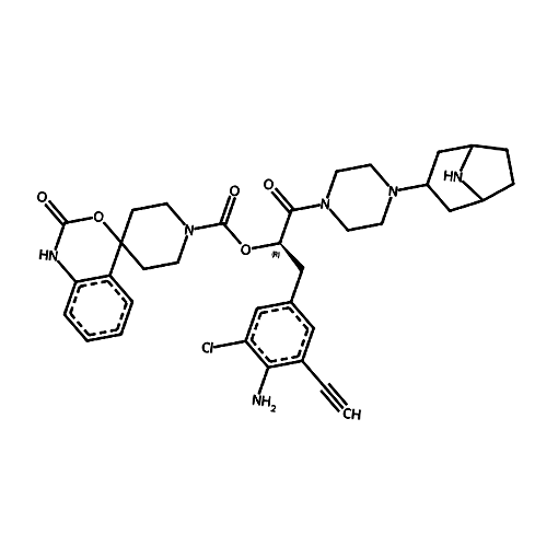 C#Cc1cc(C[C@@H](OC(=O)N2CCC3(CC2)OC(=O)Nc2ccccc23)C(=O)N2CCN(C3CC4CCC(C3)N4)CC2)cc(Cl)c1N